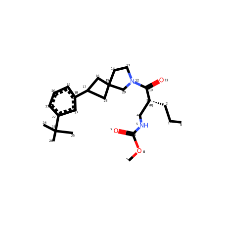 CCC[C@H](CNC(=O)OC)C(=O)N1CCC2(CC(c3cccc(C(C)(C)C)c3)C2)C1